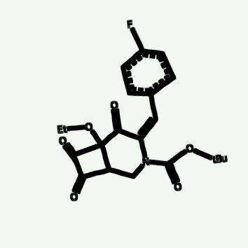 CCOC12C(=O)C(=O)C1CN(C(=O)OC(C)(C)C)C(=Cc1ccc(F)cc1)C2=O